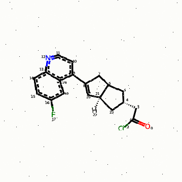 O=C(Cl)C[C@H]1CC2CC(c3ccnc4ccc(F)cc34)=C[C@@H]2C1